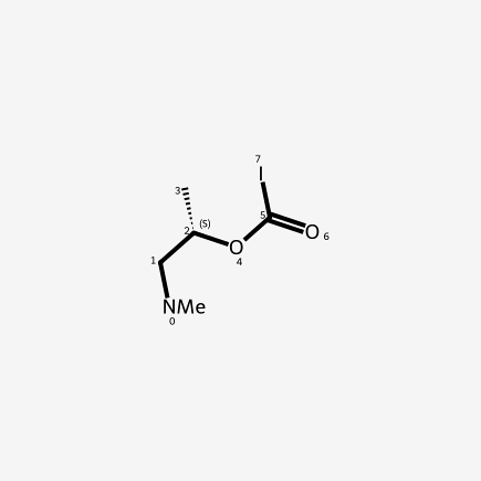 CNC[C@H](C)OC(=O)I